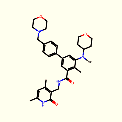 CC(=O)N(c1cc(-c2ccc(CN3CCOCC3)cc2)cc(C(=O)NCc2c(C)cc(C)[nH]c2=O)c1C)C1CCOCC1